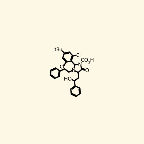 CC(C)(C)c1cc(Cl)c(C2N(C(=O)O)C(=O)C(CC(O)c3ccccc3)N2CCc2ccccc2)c(Cl)c1